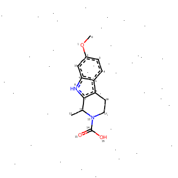 COc1ccc2c3c([nH]c2c1)C(C)N(C(=O)O)CC3